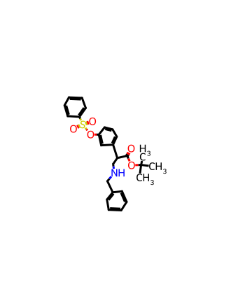 CC(C)(C)OC(=O)C(CNCc1ccccc1)c1cccc(OS(=O)(=O)c2ccccc2)c1